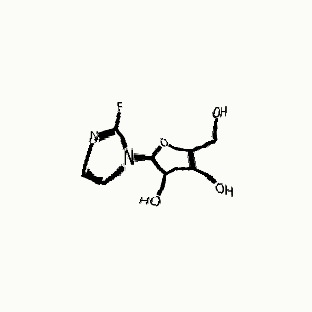 OCC1OC(n2ccnc2F)C(O)C1O